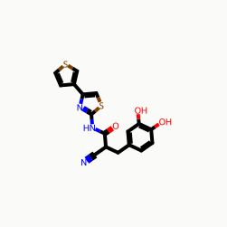 N#CC(Cc1ccc(O)c(O)c1)C(=O)Nc1nc(-c2ccsc2)cs1